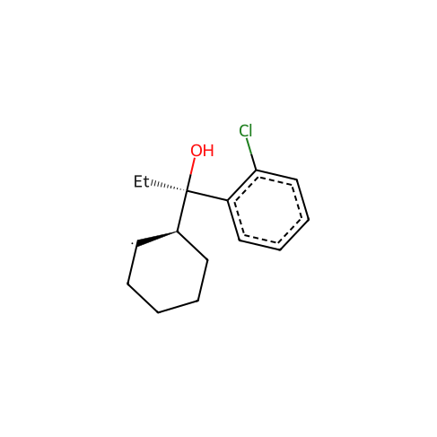 CC[C@](O)(c1ccccc1Cl)[C@@H]1[CH]CCCC1